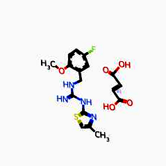 COc1ccc(F)cc1CNC(=N)Nc1nc(C)cs1.O=C(O)/C=C/C(=O)O